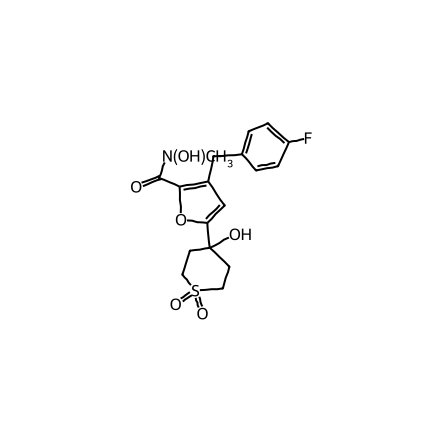 CN(O)C(=O)c1oc(C2(O)CCS(=O)(=O)CC2)cc1Cc1ccc(F)cc1